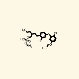 CCCC(CCc1ccc(Sc2cc(OCC)ccc2O)cc1Cl)COP(=O)(O)ON